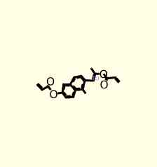 C=CC(=O)O/C(C)=C/c1ccc2cc(OC(=O)C=C)ccc2c1C